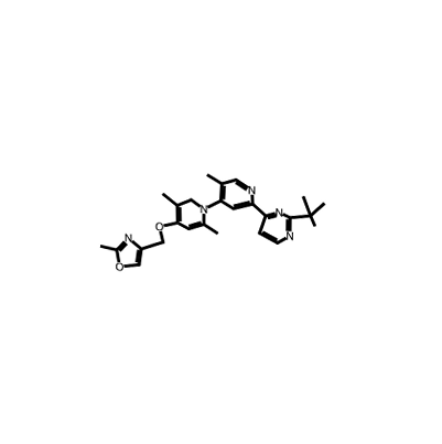 CC1=CC(OCc2coc(C)n2)=C(C)CN1c1cc(-c2ccnc(C(C)(C)C)n2)ncc1C